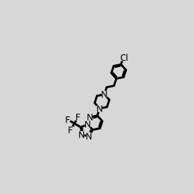 FC(F)(F)c1nnc2ccc(N3CCN(CCc4ccc(Cl)cc4)CC3)nn12